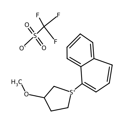 COC1CC[S+](c2cccc3ccccc23)C1.O=S(=O)([O-])C(F)(F)F